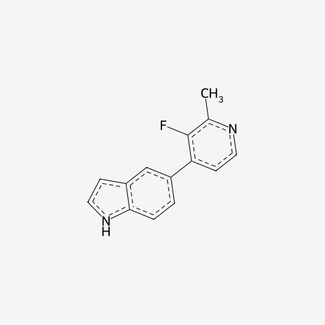 Cc1nccc(-c2ccc3[nH]ccc3c2)c1F